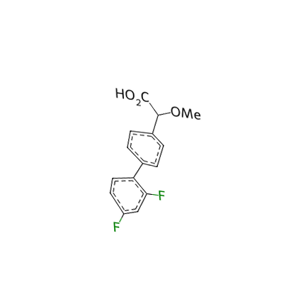 COC(C(=O)O)c1ccc(-c2ccc(F)cc2F)cc1